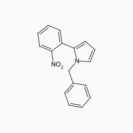 O=[N+]([O-])c1ccccc1-c1cccn1Cc1ccccc1